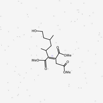 COC(=O)C/C(C(=O)OC)=C(\C(=O)OC)C(C)CC(C)CCO